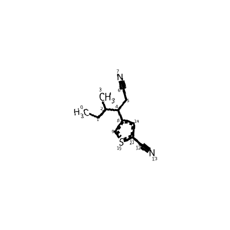 CCC(C)C(CC#N)c1csc(C#N)c1